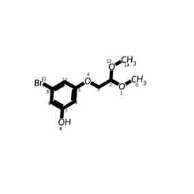 COC(COc1cc(O)cc(Br)c1)OC